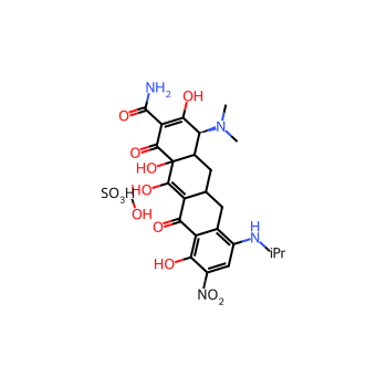 CC(C)Nc1cc([N+](=O)[O-])c(O)c2c1CC1CC3[C@H](N(C)C)C(O)=C(C(N)=O)C(=O)C3(O)C(O)=C1C2=O.O=S(=O)(O)O